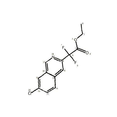 CCOC(=O)C(F)(F)c1cc2ccc(Cl)cc2cn1